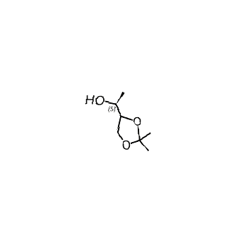 C[C@H](O)C1COC(C)(C)O1